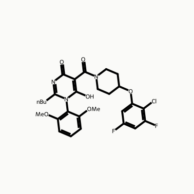 CCCCc1nc(=O)c(C(=O)N2CCC(Oc3cc(F)cc(F)c3Cl)CC2)c(O)n1-c1c(OC)cccc1OC